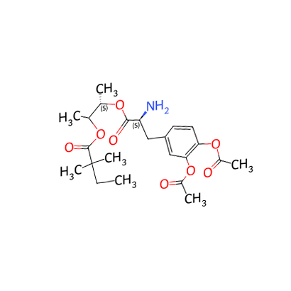 CCC(C)(C)C(=O)OC(C)[C@H](C)OC(=O)[C@@H](N)Cc1ccc(OC(C)=O)c(OC(C)=O)c1